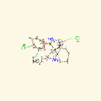 O=C(O)[C@@H]1NC2(CCCCC2)[C@@]2(C(=O)Nc3cc(Cl)ccc32)[C@H]1c1cccc(Cl)c1F